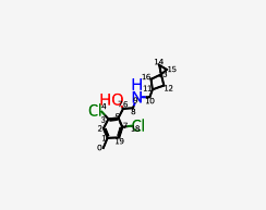 Cc1cc(Cl)c(C(O)CNCC2CC3(CC3)C2)c(Cl)c1